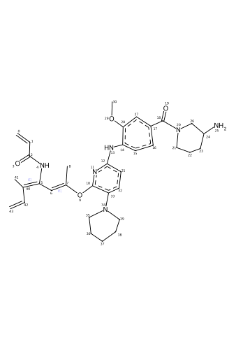 C=CC(=O)NC(/C=C(\C)Oc1nc(Nc2ccc(C(=O)N3CCCC(N)C3)cc2OC)ccc1N1CCCCC1)=C(\C)C=C